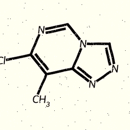 Cc1c(Cl)ncn2cnnc12